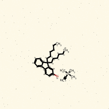 C#C[Si](C)(C)C.CCCCCCC1(CCCCCC)c2ccccc2-c2ccc(Br)cc21